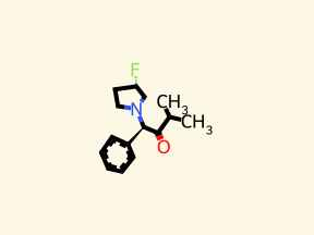 CC(C)C(=O)[C@@H](c1ccccc1)N1CC[C@H](F)C1